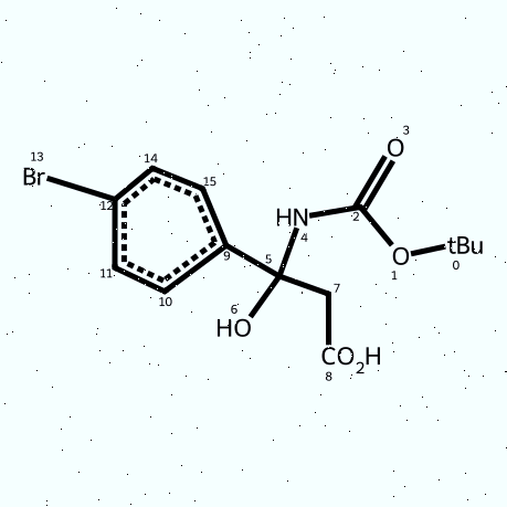 CC(C)(C)OC(=O)NC(O)(CC(=O)O)c1ccc(Br)cc1